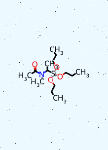 CCCO[Si](OCCC)(OCCC)C(C)N(C)C(C)=O